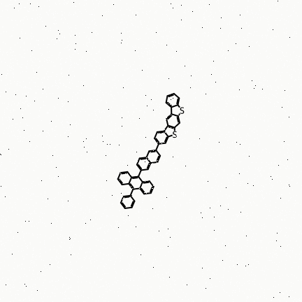 c1ccc(-c2c3ccccc3c(-c3ccc4cc(-c5ccc6c(c5)sc5cc7sc8ccccc8c7cc56)ccc4c3)c3ccccc23)cc1